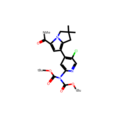 CNC(=O)c1cc(-c2cc(N(C(=O)OC(C)(C)C)C(=O)OC(C)(C)C)ncc2Cl)c2n1CC(C)(C)C2